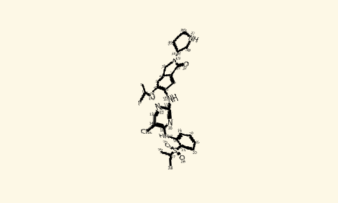 CC(C)Oc1cc2c(cc1Nc1ncc(Cl)c(Nc3ccccc3S(=O)(=O)C(C)C)n1)C(=O)N([C@@H]1CCNC1)C2